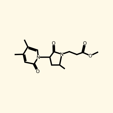 COC(=O)CCN1C(=O)C(n2cc(C)c(C)cc2=O)CC1C